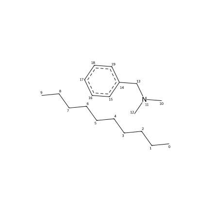 CCCCCCCCCC.CN(C)Cc1ccccc1